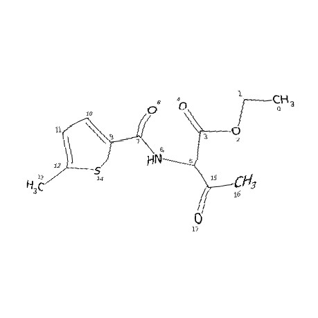 CCOC(=O)C(NC(=O)c1ccc(C)s1)C(C)=O